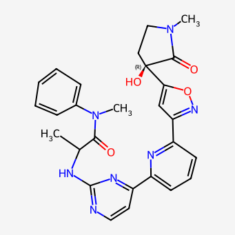 CC(Nc1nccc(-c2cccc(-c3cc([C@]4(O)CCN(C)C4=O)on3)n2)n1)C(=O)N(C)c1ccccc1